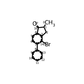 CC1Cc2c(ccc(-c3ccccc3)c2Br)C1=O